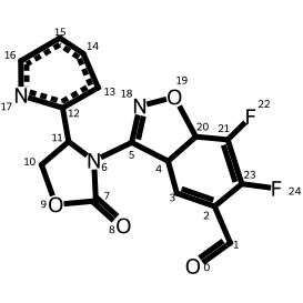 O=CC1=CC2C(N3C(=O)OCC3c3ccccn3)=NOC2C(F)=C1F